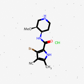 CO[C@H]1CNCC[C@H]1NC(=O)c1[nH]c(C)c(C#N)c1Br.Cl